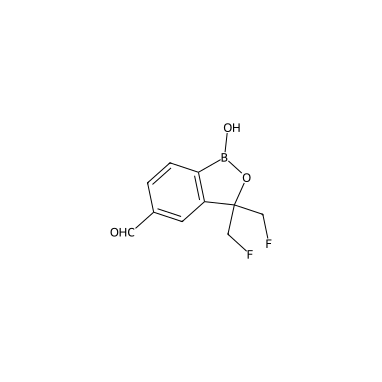 O=Cc1ccc2c(c1)C(CF)(CF)OB2O